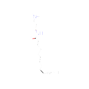 CCCCCCCC/C=C\CCCCCCCC(=O)NSCCN(C)C